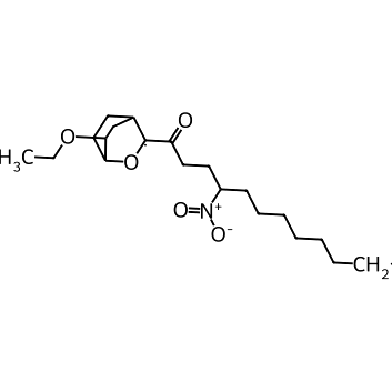 [CH2]CCCCCCC(CCC(=O)[C]1OC2CCC1CC2OCC)[N+](=O)[O-]